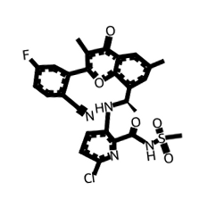 Cc1cc([C@@H](C)Nc2ccc(Cl)nc2C(=O)NS(C)(=O)=O)c2oc(-c3cc(F)ccc3C#N)c(C)c(=O)c2c1